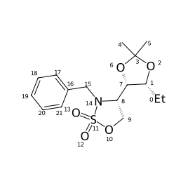 CC[C@H]1OC(C)(C)O[C@H]1[C@@H]1COS(=O)(=O)N1Cc1ccccc1